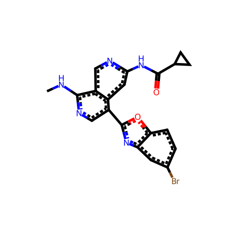 CNc1ncc(-c2nc3cc(Br)ccc3o2)c2cc(NC(=O)C3CC3)ncc12